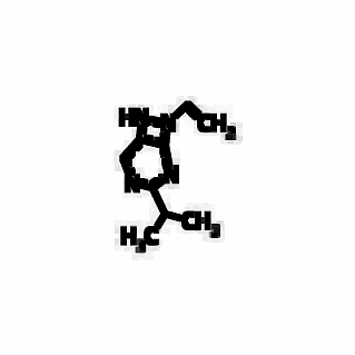 C=Cn1[nH]c2cnc(C(C)C)nc21